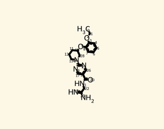 CCOc1ccccc1OC1CCCN(c2ncc(C(=O)NCC(=N)N)cn2)C1